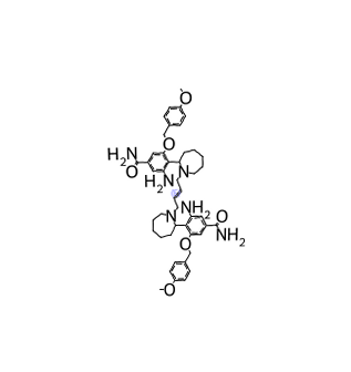 COc1ccc(COc2cc(C(N)=O)cc(N)c2C2CCCCCN2C/C=C/CN2CCCCCC2c2c(N)cc(C(N)=O)cc2OCc2ccc(OC)cc2)cc1